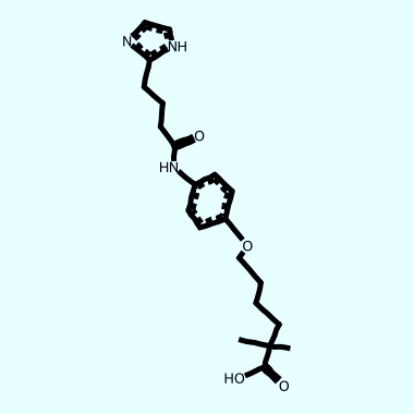 CC(C)(CCCCOc1ccc(NC(=O)CCCc2ncc[nH]2)cc1)C(=O)O